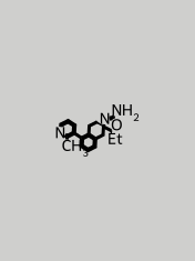 CC[C@H]1OC(N)=N[C@]12CCc1c(cccc1-c1cccnc1C)C2